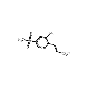 CCOC(=O)C=Cc1ccc(S(C)(=O)=O)cc1N